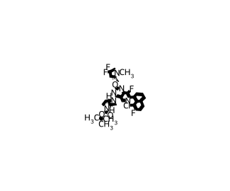 CN1CC(F)(F)C[C@H]1COc1nc(N2C[C@@H]3[C@H]2CCN3C(=O)OC(C)(C)C)c2cnc(-c3cccc4ccc(F)c(Cl)c34)c(F)c2n1